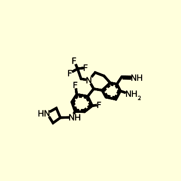 N=Cc1c(N)ccc2c1CCN(CC(F)(F)F)C2c1c(F)cc(NC2CNC2)cc1F